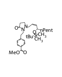 CCCCCC(/C=C\CN1CCC(=O)N1CCc1ccc(C(=O)OC)cc1)O[Si](C)(C)C(C)(C)C